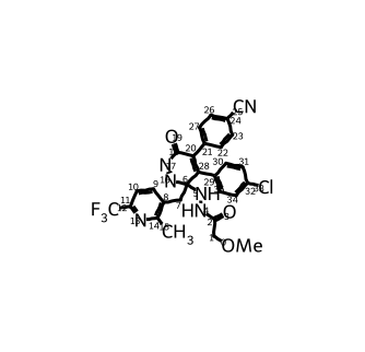 COCC(=O)NNC1(Cc2ccc(C(F)(F)F)nc2C)N=NC(=O)C(c2ccc(C#N)cc2)=C1c1ccc(Cl)cc1